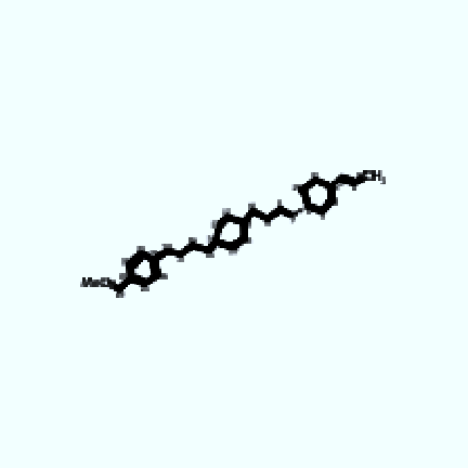 C/C=C/[C@H]1CC[C@H](CCCCC2CCC(CCCCc3ccc(COC)cc3)CC2)CC1